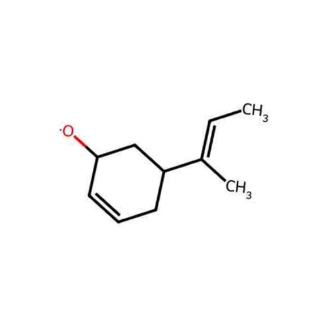 CC=C(C)C1CC=CC([O])C1